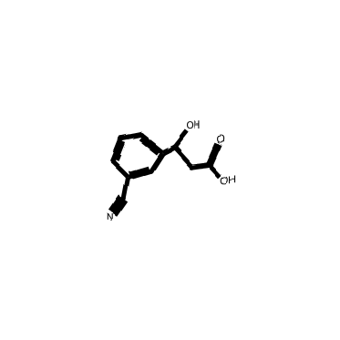 N#Cc1cccc(C(O)CC(=O)O)c1